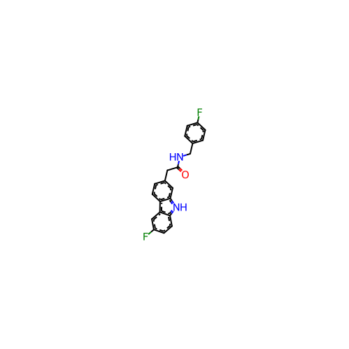 O=C(Cc1ccc2c(c1)[nH]c1ccc(F)cc12)NCc1ccc(F)cc1